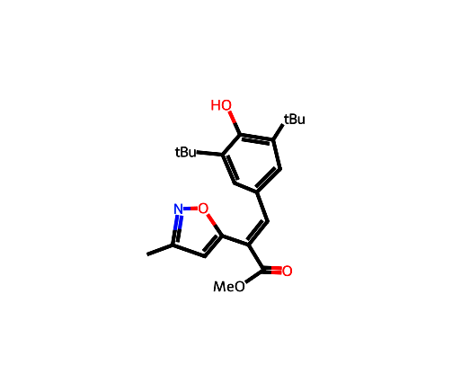 COC(=O)C(=Cc1cc(C(C)(C)C)c(O)c(C(C)(C)C)c1)c1cc(C)no1